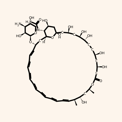 C[C@H]1C[C@H](O)[C@@H](C)/C=C/C=C/C=C/C=C/C=C/C=C/C=C/[C@H](O[C@@H]2OC[C@@H](O)[C@H](N)[C@@H]2O)C[C@@H]2O[C@](O)(C[C@@H](O)C[C@@H](O)[C@H](O)CC[C@@H](O)C[C@@H](O)CC(=O)O1)C[C@H](O)[C@H]2NC(N)=O